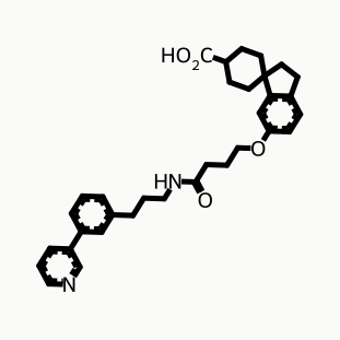 O=C(CCCOc1ccc2c(c1)C1(CC2)CCC(C(=O)O)CC1)NCCCc1cccc(-c2cccnc2)c1